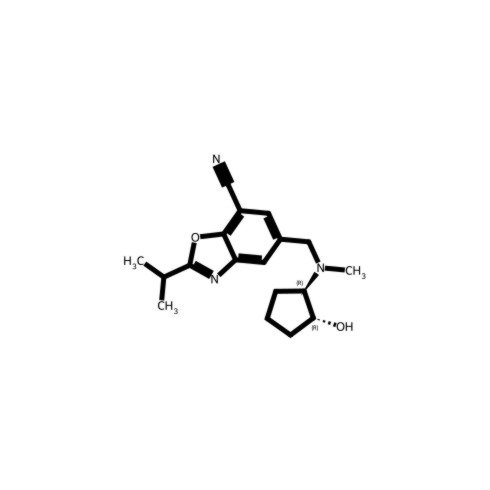 CC(C)c1nc2cc(CN(C)[C@@H]3CCC[C@H]3O)cc(C#N)c2o1